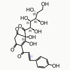 O=C(/C=C/c1ccc(O)cc1)C1=C(O)[C@@](O)(C(=O)[C@H](O)[C@@H](O)[C@H](O)[C@H](O)CO)C(=O)CC1=O